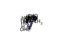 CC1=C(/C=C/C(C)=C/C=C/C(C)=C/C=O)C(C)(C)CCC1.O=C[C@H](O)[C@@H](O)[C@H](O)[C@H](O)CO